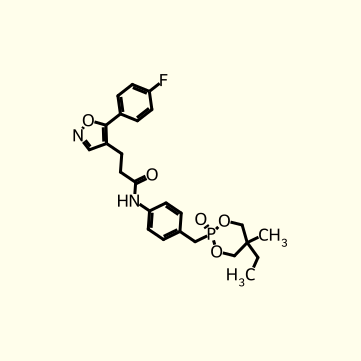 CCC1(C)COP(=O)(Cc2ccc(NC(=O)CCc3cnoc3-c3ccc(F)cc3)cc2)OC1